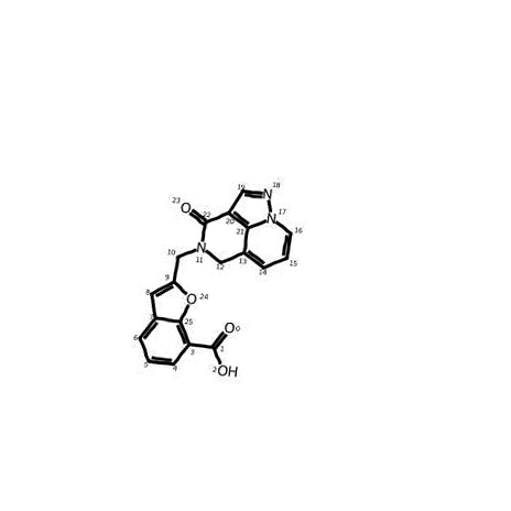 O=C(O)c1cccc2cc(CN3Cc4cccn5ncc(c45)C3=O)oc12